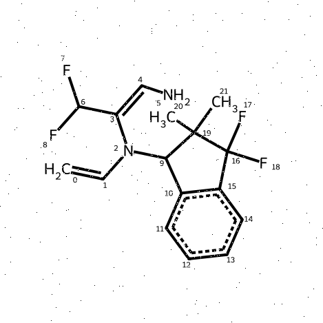 C=CN(/C(=C\N)C(F)F)C1c2ccccc2C(F)(F)C1(C)C